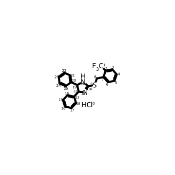 Cl.FC(F)(F)c1ccccc1CSC1=NC(c2ccccc2)C(c2ccccc2)N1